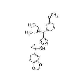 CCN(CC)C(c1cccc(OC)c1)c1cnc(NC2(c3ccc4c(c3)OCO4)CC2)s1